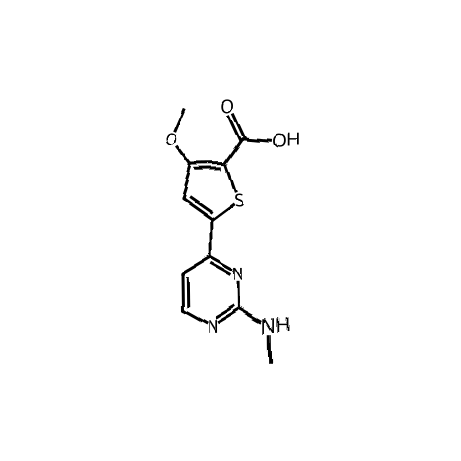 CNc1nccc(-c2cc(OC)c(C(=O)O)s2)n1